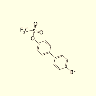 O=S(=O)(Oc1ccc(-c2ccc(Br)cc2)cc1)C(F)(F)F